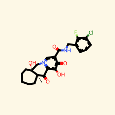 C[C@]12CCCCC[C@@]1(O)Cn1cc(C(=O)NCc3cccc(Cl)c3F)c(=O)c(O)c1C2=O